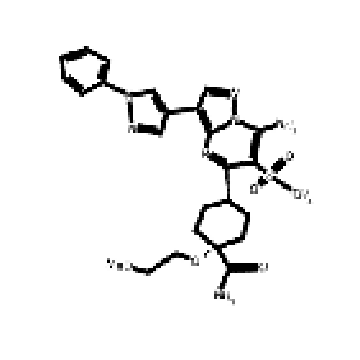 COCCO[C@]1(C(N)=O)CC[C@@H](c2nc3c(-c4cnn(-c5ccccc5)c4)cnn3c(N)c2S(C)(=O)=O)CC1